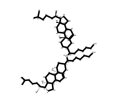 CC(C)CCC[C@@H](C)[C@H]1CCC2C3CC=C4CC(C(CCCCCI)OC(CCCCCI)C5CC[C@@]6(C)C(=CCC7C6CC[C@@]6(C)C7CC[C@@H]6[C@H](C)CCCC(C)C)C5)CC[C@]4(C)C3CC[C@@]21C